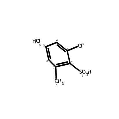 Cc1cccc(Cl)c1S(=O)(=O)O.Cl